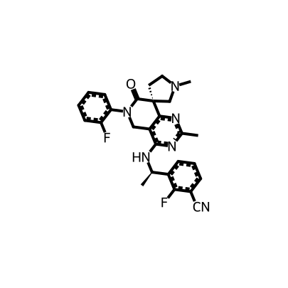 Cc1nc(N[C@H](C)c2cccc(C#N)c2F)c2c(n1)[C@@]1(CCN(C)C1)C(=O)N(c1ccccc1F)C2